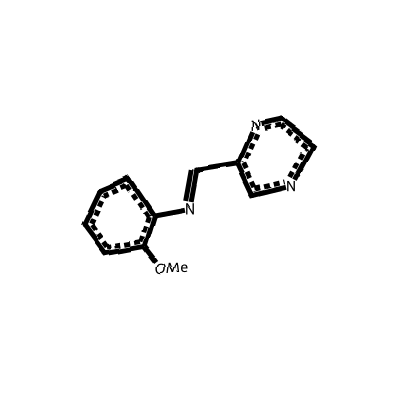 COc1ccccc1/N=C/c1cnccn1